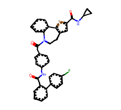 O=C(NC1CC1)c1cc2c(s1)-c1ccccc1N(C(=O)c1ccc(NC(=O)c3ccccc3-c3ccc(F)cc3)cc1)CC2